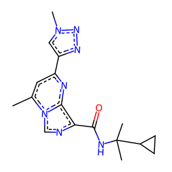 Cc1cc(-c2cn(C)nn2)nc2c(C(=O)NC(C)(C)C3CC3)ncn12